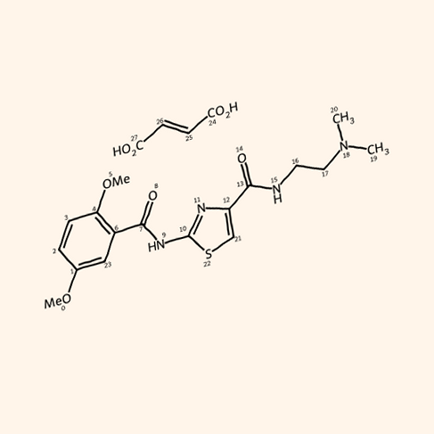 COc1ccc(OC)c(C(=O)Nc2nc(C(=O)NCCN(C)C)cs2)c1.O=C(O)C=CC(=O)O